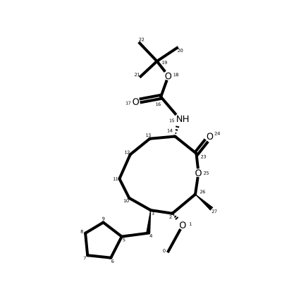 CO[C@@H]1[C@@H](CC2CCCC2)CCCC[C@H](NC(=O)OC(C)(C)C)C(=O)O[C@H]1C